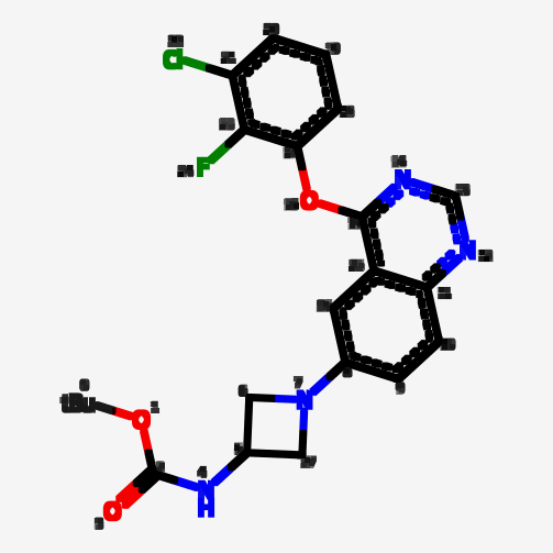 CC(C)(C)OC(=O)NC1CN(c2ccc3ncnc(Oc4cccc(Cl)c4F)c3c2)C1